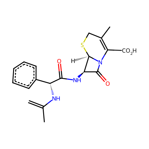 C=C(C)N[C@@H](C(=O)N[C@@H]1C(=O)N2C(C(=O)O)=C(C)CS[C@H]12)c1ccccc1